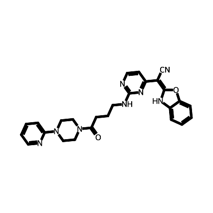 N#CC(=C1Nc2ccccc2O1)c1ccnc(NCCCC(=O)N2CCN(c3ccccn3)CC2)n1